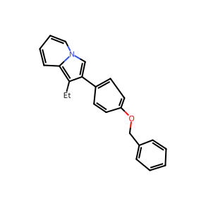 CCc1c(-c2ccc(OCc3ccccc3)cc2)cn2ccccc12